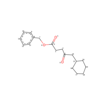 O=C(CCC(=O)OCc1ccccc1)CC1CCCCC1